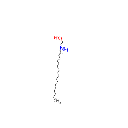 CCCCCCCCCCCCCCCC[CH]CNCCO